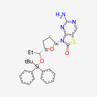 CCC(O[Si](c1ccccc1)(c1ccccc1)C(C)(C)C)[C@@H]1C[CH][C@H](n2c(=O)sc3cnc(N)nc32)O1